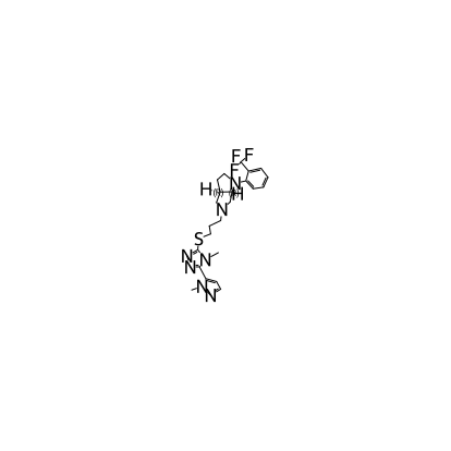 Cn1nccc1-c1nnc(SCCCN2C[C@H]3CCN(c4ccccc4C(F)(F)F)[C@H]3C2)n1C